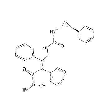 CC(C)N(C(=O)C(c1cccnc1)C(CNC(=O)N[C@@H]1C[C@H]1c1ccccc1)c1ccccc1)C(C)C